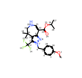 COc1ccc(Cn2nc3c(c2C(F)(F)F)C(C)(C)CNC=C3C(=O)OC(C)C)cc1